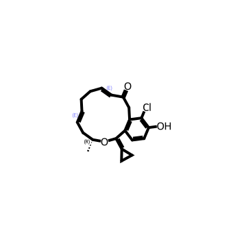 C[C@@H]1C/C=C/CC/C=C/C(=O)Cc2c(ccc(O)c2Cl)C(=C2CC2)O1